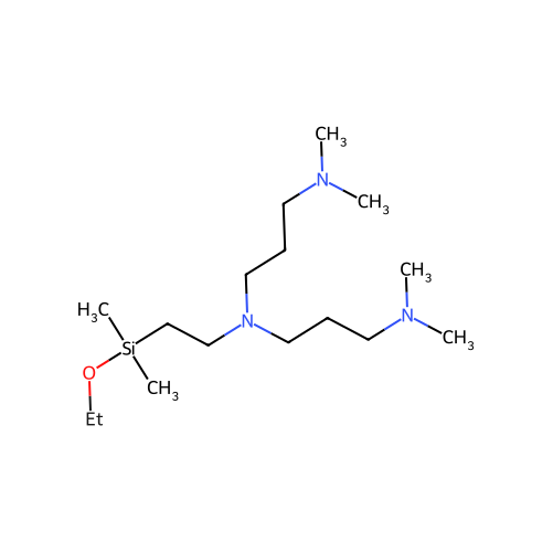 CCO[Si](C)(C)CCN(CCCN(C)C)CCCN(C)C